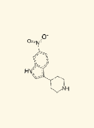 O=[N+]([O-])c1ccc2c(C3CCNCC3)c[nH]c2c1